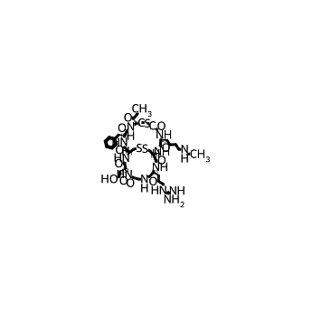 CCNCCCC[C@@H]1NC(=O)CSC[C@@H](C(=O)CC)NC(=O)[C@H](Cc2ccccc2)NC(=O)[C@@H]2CSSC[C@H](NC1=O)C(=O)N[C@@H](CCCNC(=N)N)C(=O)NCC(=O)N[C@@H](CC(=O)O)C(=O)N2